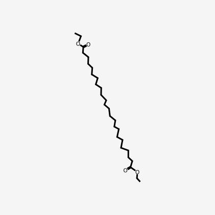 CCOC(=O)CCCCCCCCCCCCCCCCCCCCCCC(=O)OCC